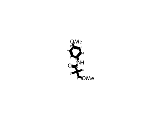 COCC(C)(C)C(=O)Nc1ccc(OC)cc1